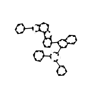 c1ccc(-c2nc(-c3ccccc3)nc(-c3cc4ccccc4cc3-c3cccc4c3oc3ccc5sc(-c6ccccc6)nc5c34)n2)cc1